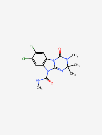 CNC(=O)N1C2=NC(C)(C)N(C)C(=O)N2c2cc(Cl)c(Cl)cc21